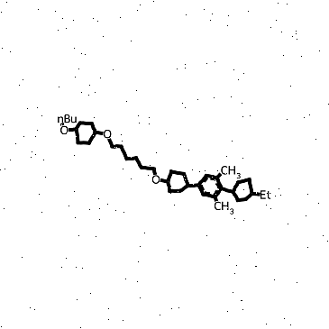 [CH2+][CH-]CCOC1CCC(OCCCCCCOC2CCC(c3cc(C)c(C4CCC(CC)CC4)c(C)c3)CC2)CC1